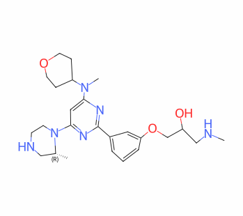 CNCC(O)COc1cccc(-c2nc(N(C)C3CCOCC3)cc(N3CCNC[C@H]3C)n2)c1